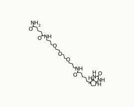 NC(=O)CCCC(=O)NCCCOCCOCCOCCCNC(=O)CCCC[C@@H]1CC[C@@H]2NC(=O)N[C@H]12